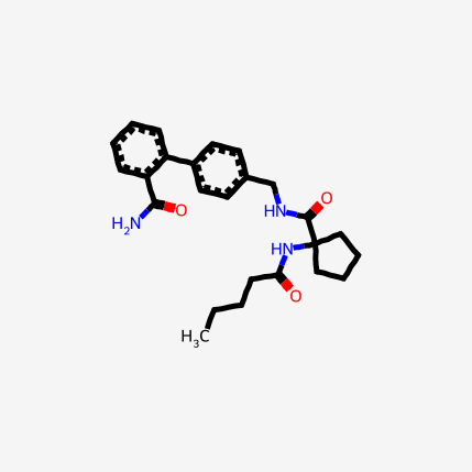 CCCCC(=O)NC1(C(=O)NCc2ccc(-c3ccccc3C(N)=O)cc2)CCCC1